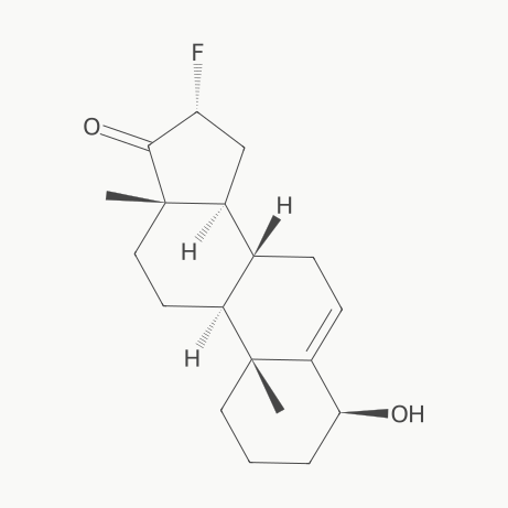 C[C@]12CCC[C@H](O)C1=CC[C@@H]1[C@@H]2CC[C@]2(C)C(=O)[C@H](F)C[C@@H]12